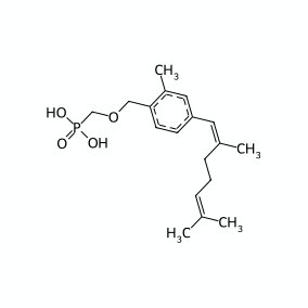 CC(C)=CCCC(C)=Cc1ccc(COCP(=O)(O)O)c(C)c1